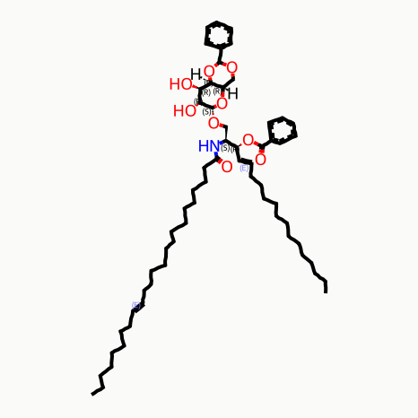 CCCCCCCC/C=C/CCCCCCCCCCCCCC(=O)N[C@@H](CO[C@H]1O[C@@H]2COC(c3ccccc3)O[C@@H]2[C@H](O)[C@H]1O)[C@@H](/C=C/CCCCCCCCCCCCC)OC(=O)c1ccccc1